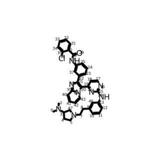 CN(C)C1CCN(CCc2cccc(Nc3nccc(-c4c(-c5cccc(NC(=O)c6ccccc6Cl)c5)nc5ccccn45)n3)c2)C1